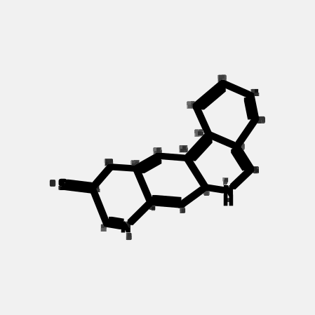 S=C1C=NC2=CC3NC=c4ccccc4=C3C=C2C1